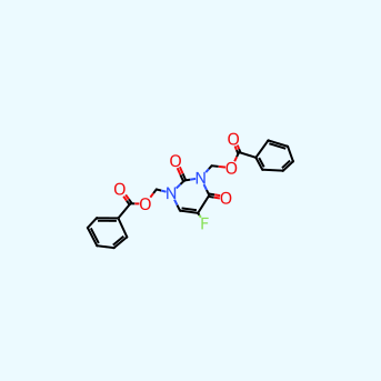 O=C(OCn1cc(F)c(=O)n(COC(=O)c2ccccc2)c1=O)c1ccccc1